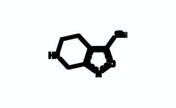 CC(C)(C)c1onc2c1CCNC2